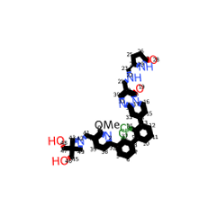 COc1nc(-c2cccc(-c3cccc(-c4ccn5c(=O)c(CNC[C@H]6CCC(=O)N6)cnc5c4)c3Cl)c2Cl)ccc1CN1CC(CO)(CO)C1